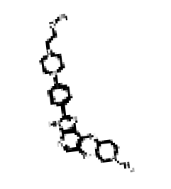 CC(C)OCCN1CCN(c2ccc(-c3nc4c(NC5CCN(C)CC5)c(Br)cnc4[nH]3)cc2)CC1